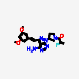 C=C(F)C(=O)N1CCC(n2nc(C#Cc3cc(OC)cc(OC)c3)c3c(N)ncnc32)C1